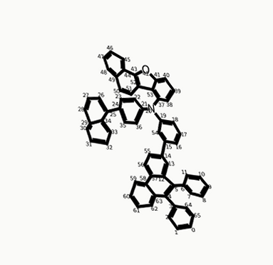 c1ccc(-c2c(-c3ccccc3)c3cc(-c4cccc(N(c5ccc(-c6cccc7ccccc67)cc5)c5cccc6oc7c8ccccc8ccc7c56)c4)ccc3c3ccccc23)cc1